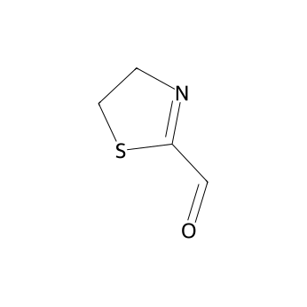 O=CC1=NCCS1